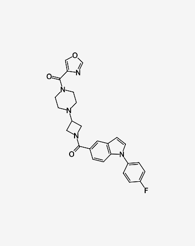 O=C(c1ccc2c(ccn2-c2ccc(F)cc2)c1)N1CC(N2CCN(C(=O)c3cocn3)CC2)C1